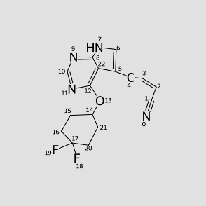 N#C/C=C\Cc1c[nH]c2ncnc(OC3CCC(F)(F)CC3)c12